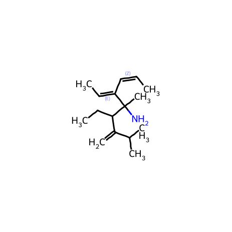 C=C(C(C)C)C(CC)C(C)(N)C(/C=C\C)=C/C